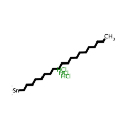 CCCCCCCCCCCCCCCCCCC[CH2][Sn].Cl.Cl.Cl